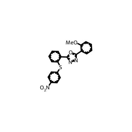 COc1ccccc1-c1nnc(-c2ccccc2Sc2ccc([N+](=O)[O-])cc2)o1